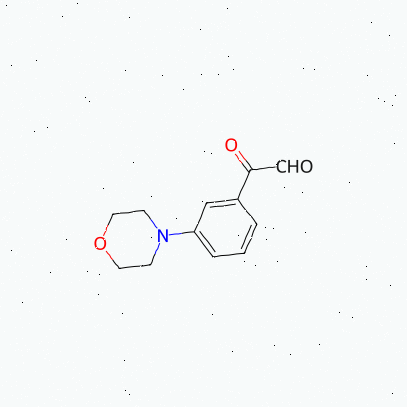 O=CC(=O)c1cccc(N2CCOCC2)c1